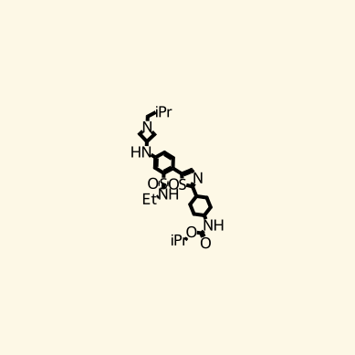 CCNS(=O)(=O)c1cc(NC2CN(CC(C)C)C2)ccc1-c1cnc(C2CCC(NC(=O)OC(C)C)CC2)s1